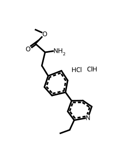 CCc1cc(-c2ccc(CC(N)C(=O)OC)cc2)ccn1.Cl.Cl